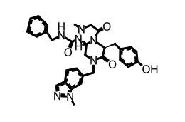 CN1CC(=O)N2[C@@H](Cc3ccc(O)cc3)C(=O)N(Cc3ccc4cnn(C)c4c3)C[C@@H]2N1C(=O)NCc1ccccc1